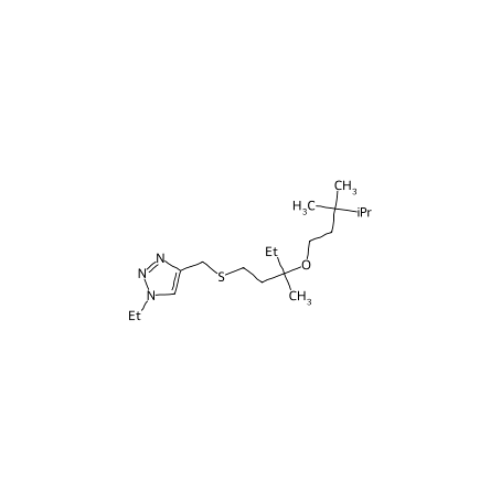 CCn1cc(CSCCC(C)(CC)OCCC(C)(C)C(C)C)nn1